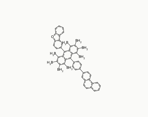 Bc1c(B)c(B)c2c(-c3ccc4oc5ccccc5c4c3)c3c(B)c(B)c(B)c(B)c3c(-c3ccc(-c4ccc5c(ccc6ccccc65)c4)cc3)c2c1B